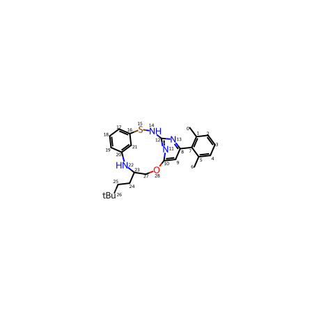 Cc1cccc(C)c1-c1cc2nc(n1)NSc1cccc(c1)NC(CCC(C)(C)C)CO2